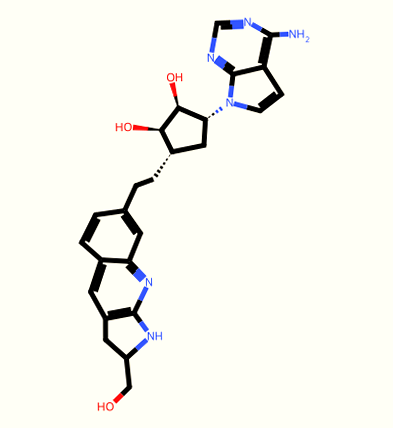 Nc1ncnc2c1ccn2[C@@H]1C[C@H](CCc2ccc3cc4c(nc3c2)NC(CO)C4)[C@@H](O)[C@H]1O